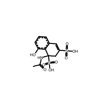 CC(=O)NC1(S(=O)(=O)O)CC(S(=O)(=O)O)=Cc2cccc(O)c21